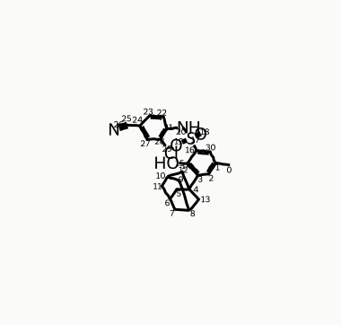 Cc1cc(C23CC4CC(CC(C4)C2)C3)c(O)c(S(=O)(=O)Nc2ccc(C#N)cc2Cl)c1